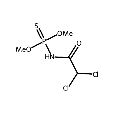 COP(=S)(NC(=O)C(Cl)Cl)OC